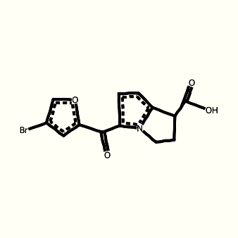 O=C(c1cc(Br)co1)c1ccc2n1CCC2C(=O)O